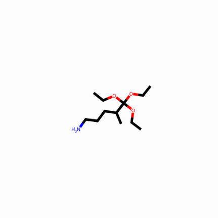 CCOC(OCC)(OCC)C(C)CCCN